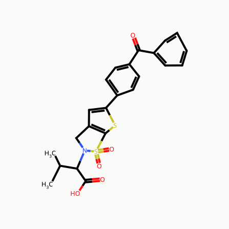 CC(C)C(C(=O)O)N1Cc2cc(-c3ccc(C(=O)c4ccccc4)cc3)sc2S1(=O)=O